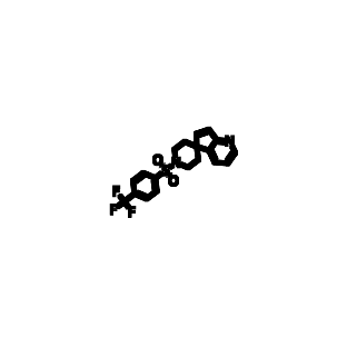 O=S(=O)(c1ccc(C(F)(F)F)cc1)N1CCC2(C=Cc3ncccc32)CC1